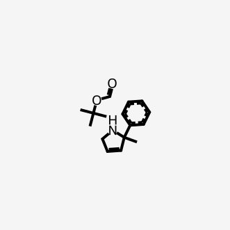 CC(C)(C)OC=O.CC1(c2ccccc2)C=CCN1